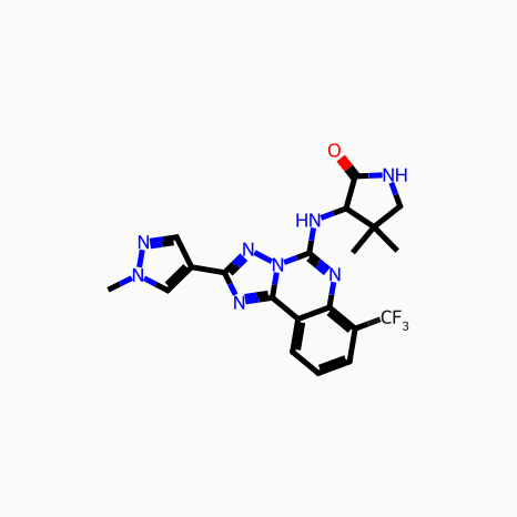 Cn1cc(-c2nc3c4cccc(C(F)(F)F)c4nc(NC4C(=O)NCC4(C)C)n3n2)cn1